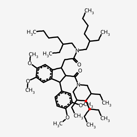 CCCCC(CC)CN(CC(CC)CCCC)C(=O)CC1c2cc(OC)c(OC)cc2C(c2ccc(OC)c(OC)c2)C1C(=O)N(CC(CC)CCCC)CC(CC)CCCC